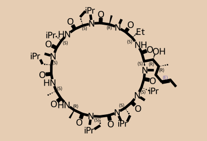 C/C=C/C[C@@H](C)[C@@H](O)[C@H]1C(=O)N[C@@H](CC)C(=O)N(C)[C@H](C)C(=O)N(C)[C@@H](CC(C)C)C(=O)N[C@@H](C(C)C)C(=O)N(C)[C@@H](CC(C)C)C(=O)N[C@@H](C)C(=O)N[C@H](C)C(=O)N(C)[C@@H](CC(C)C)C(=O)N(C)[C@@H](CC(C)C)C(=O)N(C)[C@@H](C(C)C)C(=O)N1C